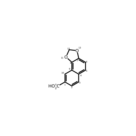 O=C(O)c1ccc2ccc3c(c2c1)OCO3